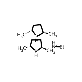 CCN.C[C@@H]1CC[C@@H](C)P1.C[C@@H]1CC[C@@H](C)P1